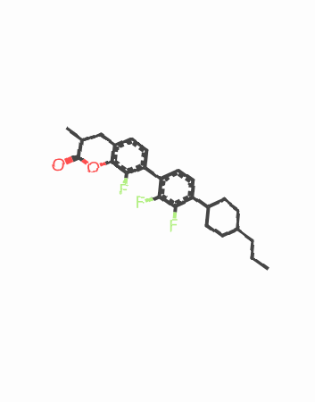 CCCC1CCC(c2ccc(-c3ccc4c(c3F)OC(=O)C(C)C4)c(F)c2F)CC1